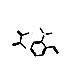 C=C(C)C(=O)O.C=Cc1ccccc1N(C)C